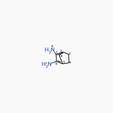 NC1=C2CCC(=C1N)C2